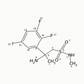 CNS(=O)(=O)CC(C)(N)c1cc(I)cc(F)c1F